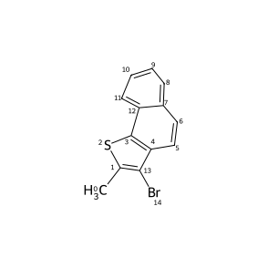 Cc1sc2c(ccc3ccccc32)c1Br